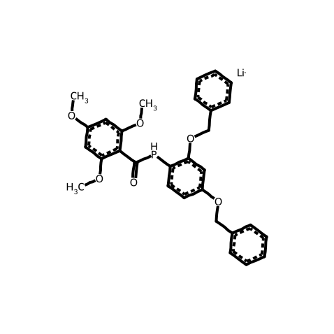 COc1cc(OC)c(C(=O)Pc2ccc(OCc3ccccc3)cc2OCc2ccccc2)c(OC)c1.[Li]